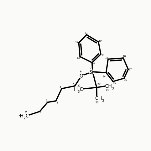 [CH2]CCCCCO[Si](c1ccccc1)(c1ccccc1)C(C)(C)C